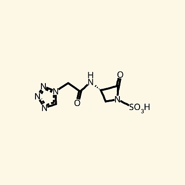 O=C(Cn1cnnn1)N[C@H]1CN(S(=O)(=O)O)C1=O